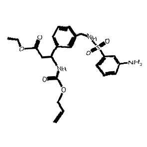 C=CCOC(=O)NC(CC(=O)OCC)c1cccc(NS(=O)(=O)c2cccc(N)c2)c1